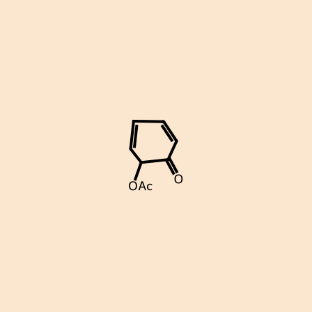 CC(=O)OC1C=CC=CC1=O